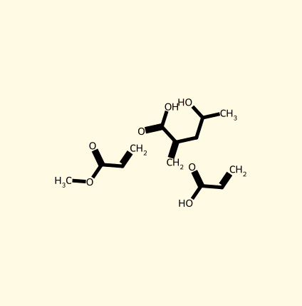 C=C(CC(C)O)C(=O)O.C=CC(=O)O.C=CC(=O)OC